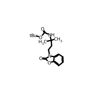 CC(C)(CCn1c(=O)oc2ccccc21)NC(=O)OC(C)(C)C